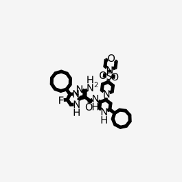 Nc1nn2c(c1C(=O)NC1CNC(C3CCCCCCCC3)CC1N1CCC(S(=O)(=O)N3CCOCC3)CC1)NCC(F)C2C1CCCCCCCCC1